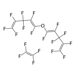 FC(F)=C(F)C(F)(F)C(F)=C(F)OC(F)=C(F)C(F)(F)C(F)=C(F)F.FC(F)=C(F)F